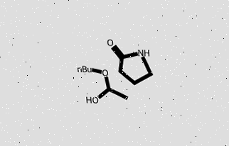 CCCCOC(C)O.O=C1CCCN1